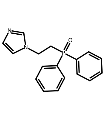 O=P(CCn1ccnc1)(c1ccccc1)c1ccccc1